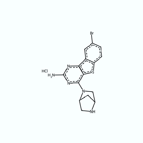 Cl.Nc1nc(N2CC3CC2CN3)c2sc3ccc(Br)cc3c2n1